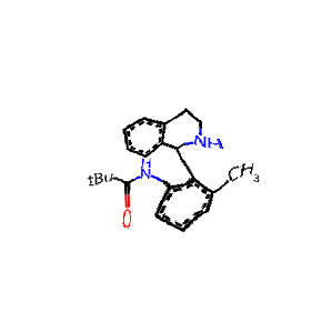 Cc1cccc(NC(=O)C(C)(C)C)c1C1NCCc2ccccc21